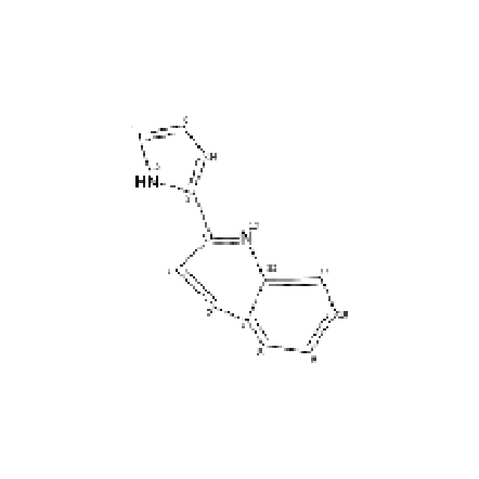 c1c[nH]c(-c2ccc3ccccc3n2)c1